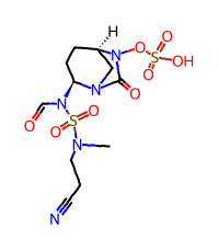 CN(CCC#N)S(=O)(=O)N(C=O)[C@H]1CC[C@@H]2CN1C(=O)N2OS(=O)(=O)O